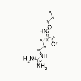 CCCON[C@H](C=O)CCCNC(N)N